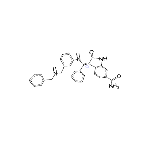 NC(=O)c1ccc2c(c1)NC(=O)/C2=C(\Nc1cccc(CNCc2ccccc2)c1)c1ccccc1